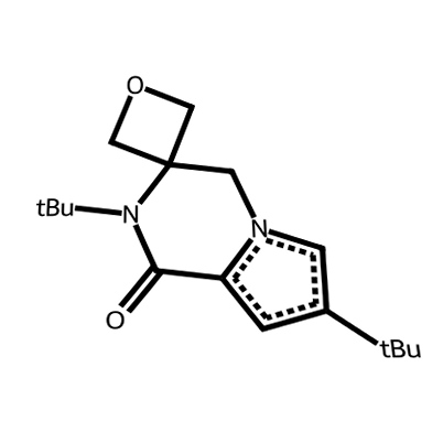 CC(C)(C)c1cc2n(c1)CC1(COC1)N(C(C)(C)C)C2=O